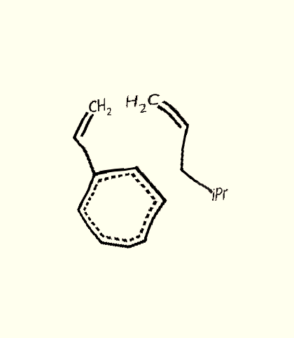 C=CCC(C)C.C=Cc1ccccc1